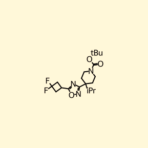 CC(C)C1(c2noc(C3CC(F)(F)C3)n2)CCN(C(=O)OC(C)(C)C)CC1